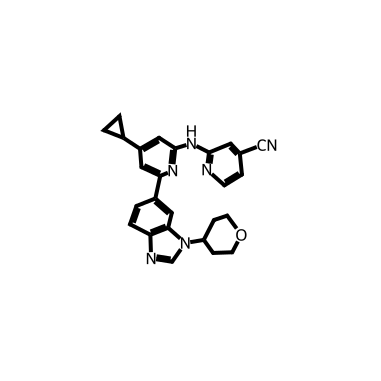 N#Cc1ccnc(Nc2cc(C3CC3)cc(-c3ccc4ncn(C5CCOCC5)c4c3)n2)c1